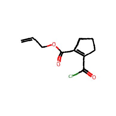 C=CCOC(=O)C1=C(C(=O)Cl)CCC1